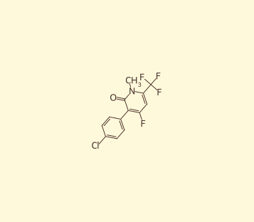 Cn1c(C(F)(F)F)cc(F)c(-c2ccc(Cl)cc2)c1=O